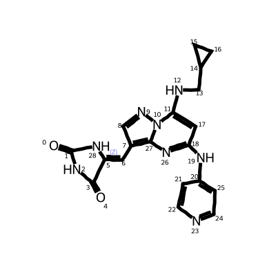 O=C1NC(=O)/C(=C/c2cnn3c(NCC4CC4)cc(Nc4ccncc4)nc23)N1